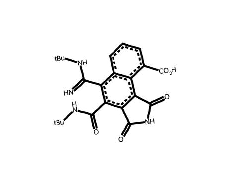 CC(C)(C)NC(=N)c1c(C(=O)NC(C)(C)C)c2c(c3c(C(=O)O)cccc13)C(=O)NC2=O